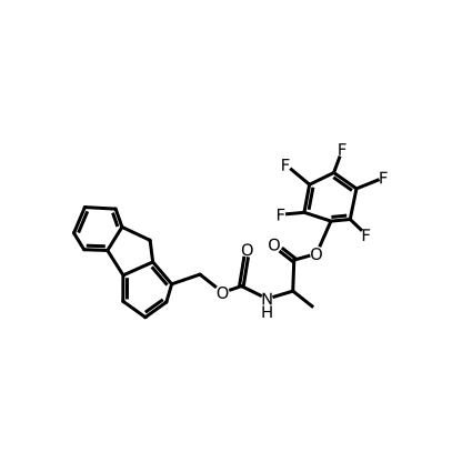 CC(NC(=O)OCc1cccc2c1Cc1ccccc1-2)C(=O)Oc1c(F)c(F)c(F)c(F)c1F